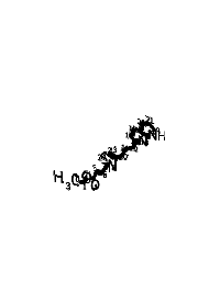 CCOC(=O)/C=C/c1nc(CCCc2ccc3c(n2)NCCC3)cs1